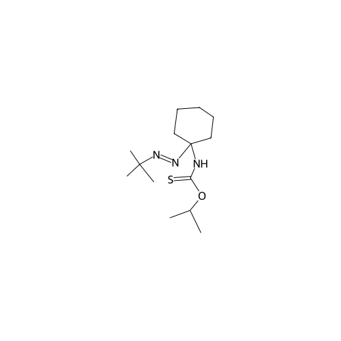 CC(C)OC(=S)NC1(N=NC(C)(C)C)CCCCC1